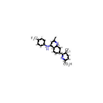 Cc1cc(Nc2ccc(C(F)(F)F)cc2)c2ccc(-c3nc(C(=O)O)ccc3C(F)(F)F)cc2n1